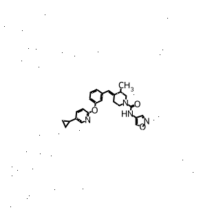 CC1CN(C(=O)Nc2cnoc2)CCC1=Cc1cccc(Oc2ccc(C3CC3)cn2)c1